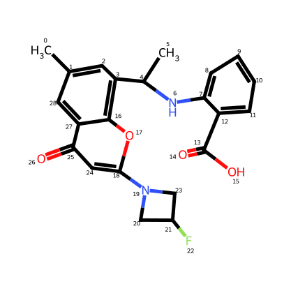 Cc1cc(C(C)Nc2ccccc2C(=O)O)c2oc(N3CC(F)C3)cc(=O)c2c1